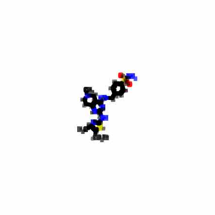 CCOC(=O)c1sc(Nc2nc3c(c(NCc4ccc(S(N)(=O)=O)cc4)n2)CN(C)CC3)nc1C